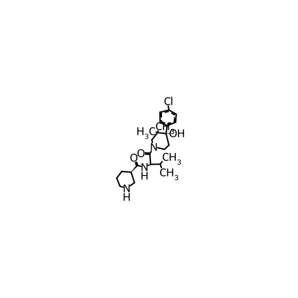 CC(C)[C@@H](NC(=O)[C@@H]1CCCNC1)C(=O)N1CC[C@](O)(c2ccc(Cl)cc2)C(C)(C)C1